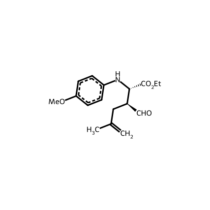 C=C(C)C[C@H](C=O)[C@H](Nc1ccc(OC)cc1)C(=O)OCC